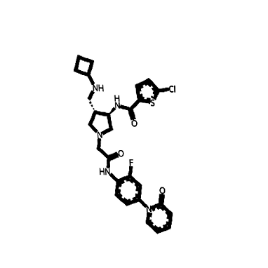 O=C(CN1C[C@H](CNC2CCC2)[C@@H](NC(=O)c2ccc(Cl)s2)C1)Nc1ccc(-n2ccccc2=O)cc1F